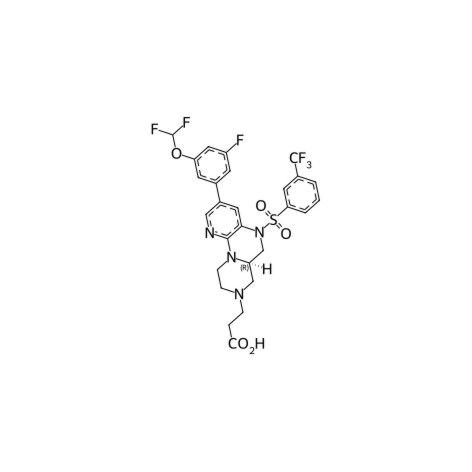 O=C(O)CCN1CCN2c3ncc(-c4cc(F)cc(OC(F)F)c4)cc3N(S(=O)(=O)c3cccc(C(F)(F)F)c3)C[C@H]2C1